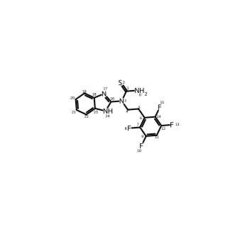 NC(=S)N(CCc1c(F)c(F)cc(F)c1F)c1nc2ccccc2[nH]1